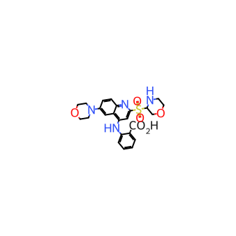 O=C(O)c1ccccc1Nc1cc(S(=O)(=O)C2COCCN2)nc2ccc(N3CCOCC3)cc12